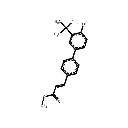 COC(=O)/C=C/c1ccc(-c2ccc(O)c(C(C)(C)C)c2)cc1